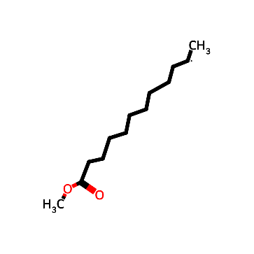 C[CH]CCCCCCCCCC(=O)OC